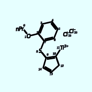 CCCOc1ccccc1SC1=[C]([Ti+2])CC=C1.[Cl-].[Cl-]